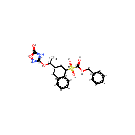 C[C@H](Oc1noc(=O)[nH]1)[C@@H]1Cc2ccccc2C(S(=O)(=O)C(=O)OCc2ccccc2)C1